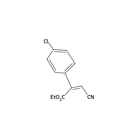 CCOC(=O)C(=CC#N)c1ccc(Cl)cc1